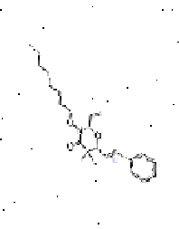 C=CC1OC(/C=C/c2ccccc2)C(C)(C)C(=O)N1OCCCCCCCC